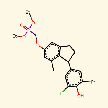 CCOP(=O)(COc1cc(C)c2c(c1)CCC2c1cc(F)c(O)c(C(C)C)c1)OCC